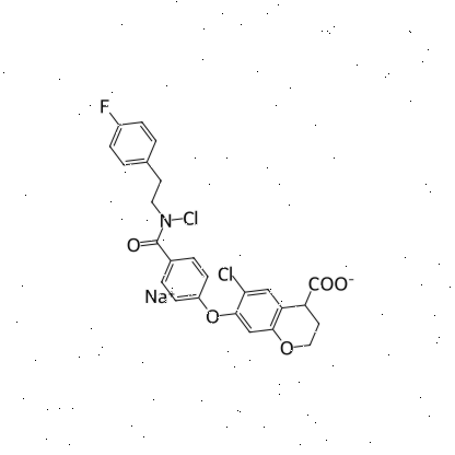 O=C([O-])C1CCOc2cc(Oc3ccc(C(=O)N(Cl)CCc4ccc(F)cc4)cc3)c(Cl)cc21.[Na+]